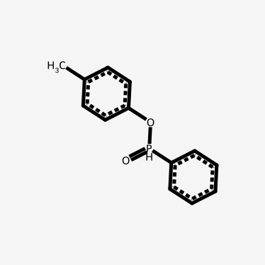 Cc1ccc(O[PH](=O)c2ccccc2)cc1